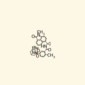 Cc1ccc(N2CC3CC(C2)N3C(=O)OC(C)(C)C)cc1C(=O)NC1(c2ccc3c4c(cccc24)C(=O)N3C)CC1